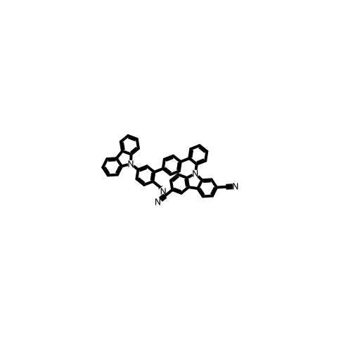 N#Cc1ccc2c(c1)c1ccc(C#N)cc1n2-c1ccccc1-c1ccc(-c2cc(-n3c4ccccc4c4ccccc43)ccc2C#N)cc1